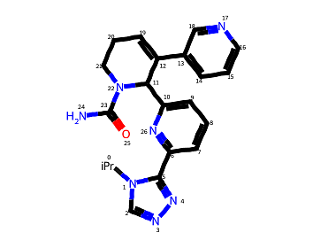 CC(C)n1cnnc1-c1cccc(C2C(c3cccnc3)=CCCN2C(N)=O)n1